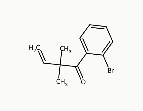 C=CC(C)(C)C(=O)c1ccccc1Br